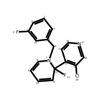 Fc1cccc(CN2C=CC=CC2(F)c2ccncc2Cl)c1